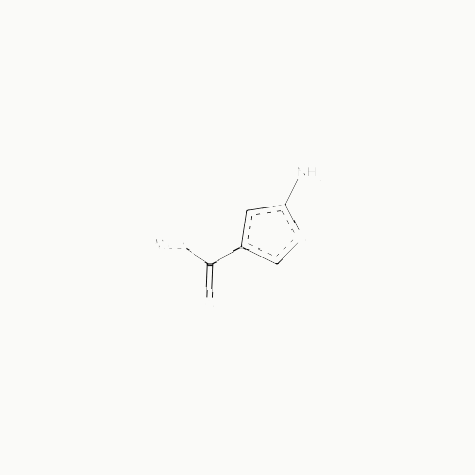 COC(=O)c1csc(N)c1